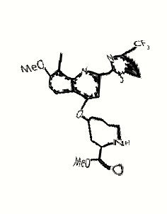 COC(=O)C1CC(Oc2cc(-c3nc(C(F)(F)F)cs3)nc3c(C)c(OC)ccc23)CCN1